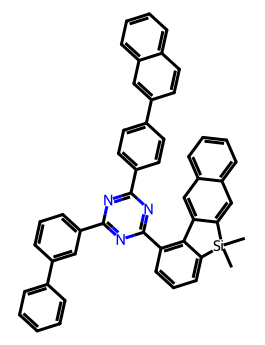 C[Si]1(C)c2cc3ccccc3cc2-c2c(-c3nc(-c4ccc(-c5ccc6ccccc6c5)cc4)nc(-c4cccc(-c5ccccc5)c4)n3)cccc21